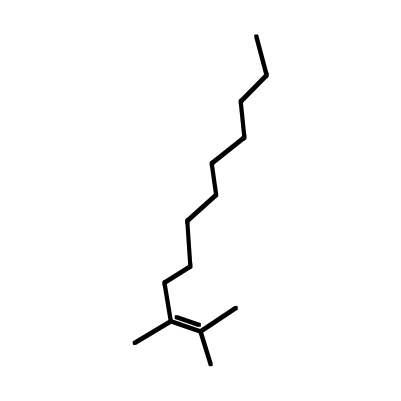 CCCCCCCCCC(C)=C(C)C